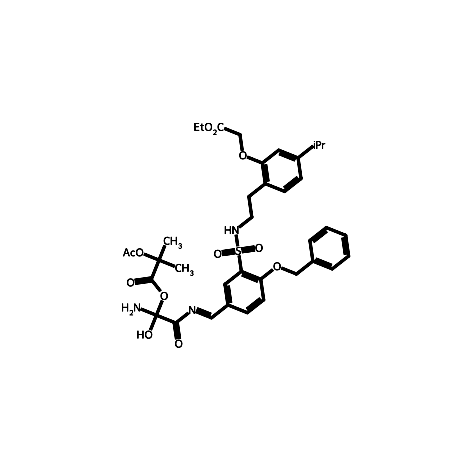 CCOC(=O)COc1cc(C(C)C)ccc1CCNS(=O)(=O)c1cc(C=NC(=O)C(N)(O)OC(=O)C(C)(C)OC(C)=O)ccc1OCc1ccccc1